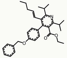 CCCC=Cc1c(C(C)C)nc(C(C)C)c(C(=O)OCC)c1-c1ccc(OCc2ccccc2)cc1